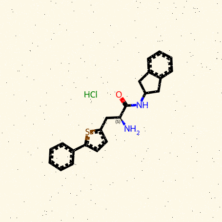 Cl.N[C@@H](Cc1ccc(-c2ccccc2)s1)C(=O)NC1Cc2ccccc2C1